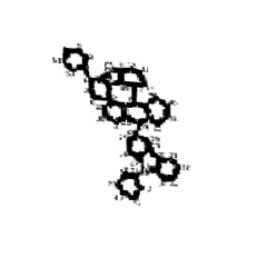 c1ccc(-c2cccc3c2oc2cccc(-c4c5ccccc5c(-c5ccc6c(c5)c5ccccc5n6-c5ccccc5)c5ccccc45)c23)cc1